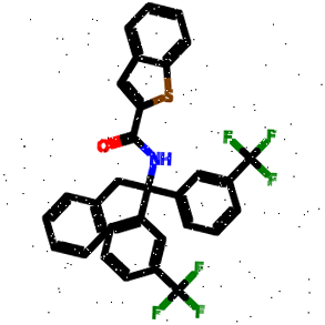 O=C(NC(Cc1ccccc1)(c1cccc(C(F)(F)F)c1)c1cccc(C(F)(F)F)c1)c1cc2ccccc2s1